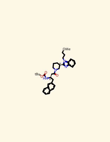 COCCCn1c([C@@H]2CCCN(C(=O)C[C@@H](Cc3ccc4ccccc4c3)NC(=O)OC(C)(C)C)C2)nc2ccccc21